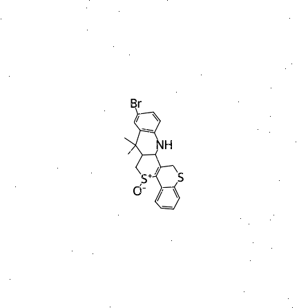 CC1(C)c2cc(Br)ccc2NC2C3=C(c4ccccc4SC3)[S+]([O-])CC21